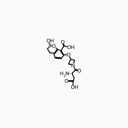 N[C@@H](CC(=O)O)C(=O)N1CC(Oc2ccc3c(c2C(=O)O)OB(O)CC3)C1